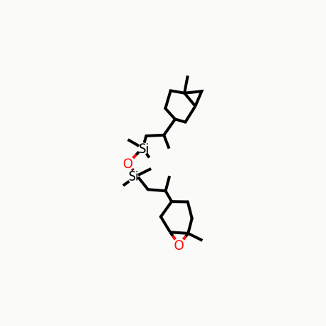 CC(C[Si](C)(C)O[Si](C)(C)CC(C)C1CCC2(C)OC2C1)C1CCC2(C)CC2C1